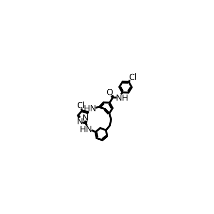 O=C(Nc1ccc(Cl)cc1)c1cc2cc(c1)Nc1nc(ncc1Cl)NC1=CC=CC(CC2)C1